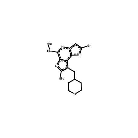 CCCCc1nc2c(NC(C)(C)C)nc3cc(Br)sc3c2n1CC1CCOCC1